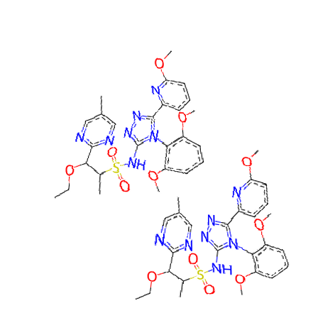 CCOC(c1ncc(C)cn1)C(C)S(=O)(=O)Nc1nnc(-c2cccc(OC)n2)n1-c1c(OC)cccc1OC.CCOC(c1ncc(C)cn1)C(C)S(=O)(=O)Nc1nnc(-c2cccc(OC)n2)n1-c1c(OC)cccc1OC